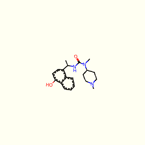 CC(NC(=O)N(C)C1CCN(C)CC1)c1ccc(O)c2ccccc12